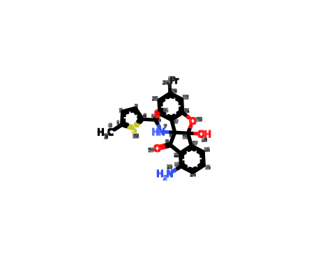 Cc1ccc(C(=O)NC23C(=O)c4c(N)cccc4C2(O)Oc2cc(C(C)C)ccc23)s1